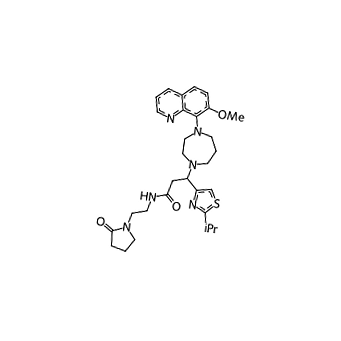 COc1ccc2cccnc2c1N1CCCN(C(CC(=O)NCCN2CCCC2=O)c2csc(C(C)C)n2)CC1